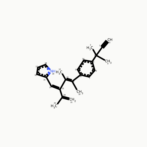 C#CC(C)(C)c1ccc(/C(C)=C(C)/C(=C\c2ccc[nH]2)C(=C)C)cc1